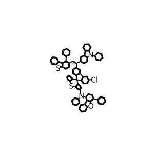 Clc1ccc2c(c1)-c1cc(/C(=C\c3ccc4sc5ccccc5c4c3-c3ccccc3)c3ccc4c(c3)c3ccccc3n4-c3ccccc3)ccc1C21c2ccccc2Sc2cc(N(c3ccccc3)c3ccc(-c4ccccc4)c4oc5ccccc5c34)ccc21